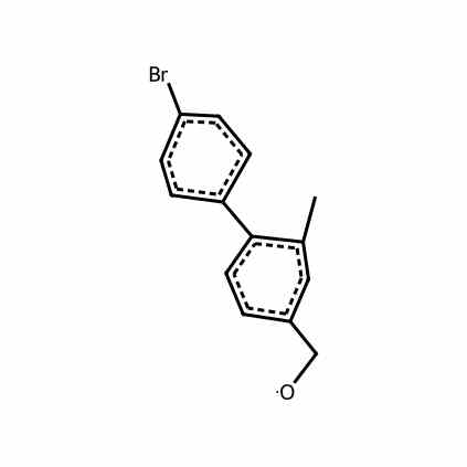 Cc1cc(C[O])ccc1-c1ccc(Br)cc1